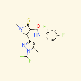 Cc1cc(C2CN(C)C(=S)C2C(=O)Nc2ccc(F)cc2F)nn1C(F)F